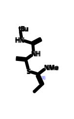 C=C(NC(=C)S/C(=C\C)NC)NC(C)(C)C